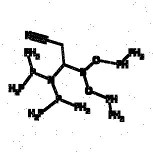 N#CCC(B(OPP)OPP)N(P(P)P)P(P)P